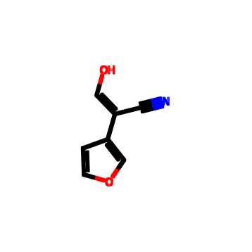 N#C/C(=C\O)c1ccoc1